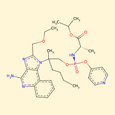 CCCCC(C)(CO[P@](=O)(N[C@@H](C)C(=O)OC(C)C)Oc1ccncc1)n1c(COCC)nc2c(N)nc3ccccc3c21